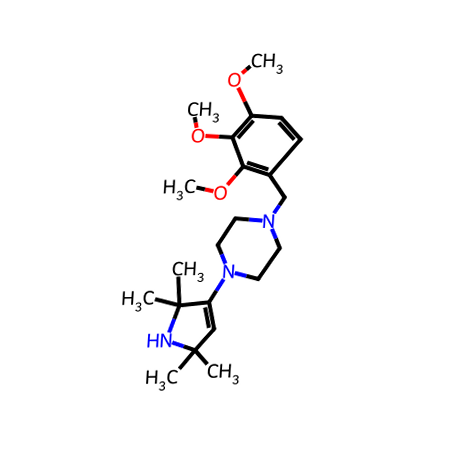 COc1ccc(CN2CCN(C3=CC(C)(C)NC3(C)C)CC2)c(OC)c1OC